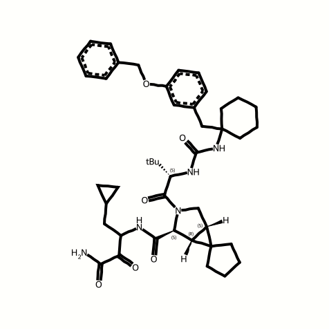 CC(C)(C)[C@H](NC(=O)NC1(Cc2cccc(OCc3ccccc3)c2)CCCCC1)C(=O)N1C[C@H]2[C@@H]([C@H]1C(=O)NC(CC1CC1)C(=O)C(N)=O)C21CCCC1